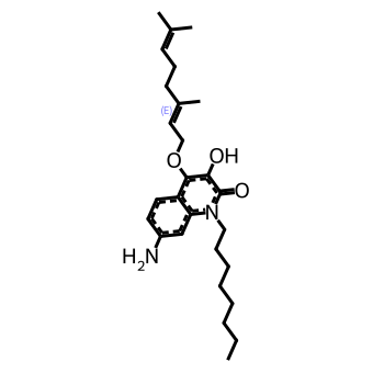 CCCCCCCCn1c(=O)c(O)c(OC/C=C(\C)CCC=C(C)C)c2ccc(N)cc21